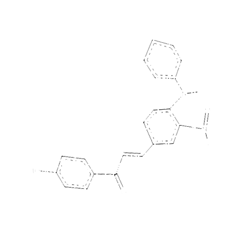 CN(c1ccccc1)c1ccc(/C=C/C(=O)c2ccc(O)cc2)cc1[N+](=O)[O-]